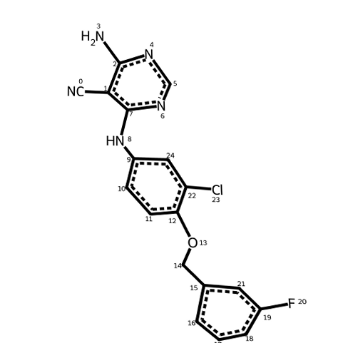 N#Cc1c(N)ncnc1Nc1ccc(OCc2cccc(F)c2)c(Cl)c1